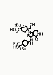 CC(C)(C)C1(C(=O)O)CCC(CC#N)(n2nc(Nc3ccc(C(O)(C(C)(C)C)C(F)(F)F)cc3)c3c(=O)[nH]ccc32)CO1